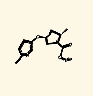 Cc1ccc(O[C@H]2C[C@H](C)N(C(=O)OC(C)(C)C)C2)cn1